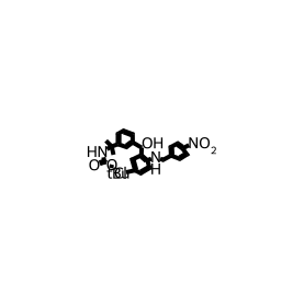 CC(C)(C)OC(=O)NC(C)(C)c1cccc(C(O)c2cc(Cl)ccc2NCc2ccc([N+](=O)[O-])cc2)c1